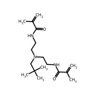 C=C(C)C(=O)NCCN(CCNC(=O)C(=C)C)CC(C)(C)C